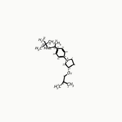 CC(C)CO[C@H]1CCN(c2ccc(C(C)NC(C)(C)C)cc2)C1